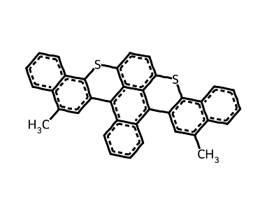 Cc1cc2c(c3ccccc13)Sc1ccc3c4c(c5ccccc5c-2c14)-c1cc(C)c2ccccc2c1S3